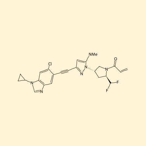 C=CC(=O)N1C[C@@H](n2nc(C#Cc3cc4ncn(C5CC5)c4cc3Cl)cc2NC)C[C@@H]1C(F)F